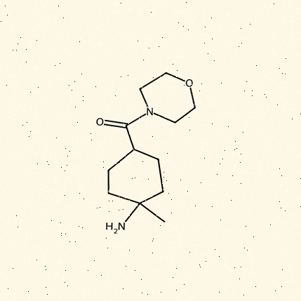 CC1(N)CCC(C(=O)N2CCOCC2)CC1